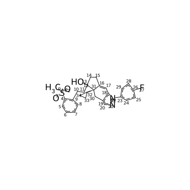 CS(=O)(=O)c1ccccc1CC[C@]1(O)CCC2=Cc3c(cnn3-c3ccc(F)cc3)C[C@@]21C1CC1